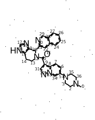 CN1CCN(c2ccc3c(C(=O)N4CCc5[nH]cnc5[C@H]4c4cc5ccccc5cn4)cnn3c2)CC1